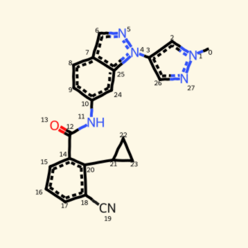 Cn1cc(-n2ncc3ccc(NC(=O)c4cccc(C#N)c4C4CC4)cc32)cn1